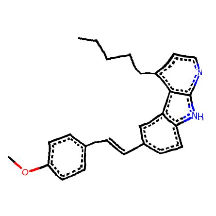 CCCCCc1ccnc2[nH]c3ccc(C=Cc4ccc(OC)cc4)cc3c12